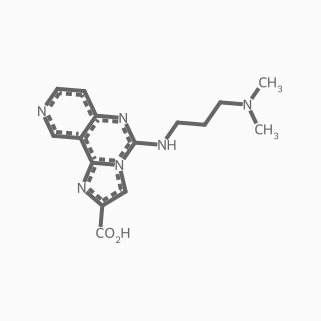 CN(C)CCCNc1nc2ccncc2c2nc(C(=O)O)cn12